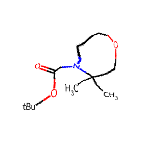 CC(C)(C)OC(=O)N1CCOCC1(C)C